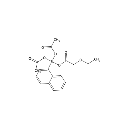 CCOCC(=O)O[Si](OC(C)=O)(OC(C)=O)c1cccc2ccccc12